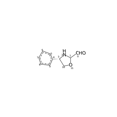 O=CC1N[C@@H](c2ccccc2)CO1